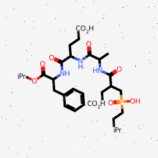 CC(C)CCP(=O)(O)CC(CC(=O)O)C(=O)NC(C)C(=O)NC(CCC(=O)O)C(=O)NC(Cc1ccccc1)C(=O)OC(C)C